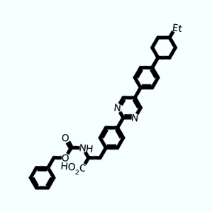 CCC1CCC(c2ccc(-c3cnc(-c4ccc(CC(NC(=O)OCc5ccccc5)C(=O)O)cc4)nc3)cc2)CC1